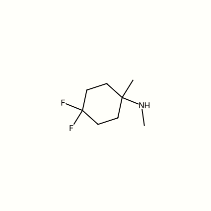 CNC1(C)CCC(F)(F)CC1